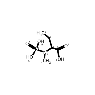 CCC(C(=O)O)N(C)P(=O)(O)O